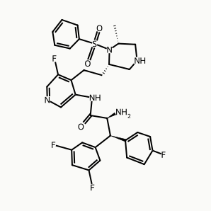 C[C@@H]1CNC[C@H](CCc2c(F)cncc2NC(=O)[C@@H](N)[C@@H](c2ccc(F)cc2)c2cc(F)cc(F)c2)N1S(=O)(=O)c1ccccc1